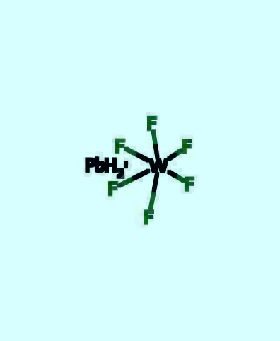 [F][W]([F])([F])([F])([F])[F].[PbH2]